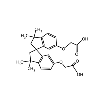 CC1(C)CC2(CC(C)(C)c3ccc(OCC(=O)O)cc32)c2cc(OCC(=O)O)ccc21